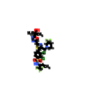 CCC(NS(=O)(=O)c1ccc(-c2sc(-c3nnc(C(C)(C)O)o3)nc2CN2CCCC(F)(F)C2)c(Cl)c1Cl)C(F)(F)F